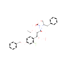 CCO[C@H](C(=O)N1C(=O)OCC1Cc1ccccc1)[C@H](O)c1ccc(OCc2ccccc2)cc1F